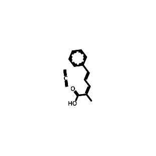 C=C=C.CC(=CC=Cc1ccccc1)C(=O)O